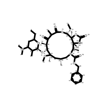 CCC1CC(N(C)C)C(C)[C@H](O[C@@H]2[C@@H](C)C(=O)C(C)C(=O)O[C@H](CC)[C@@]3(C)OC(=O)N[C@@H]3[C@@H](C)N(C(=O)OCc3ccccc3)C[C@H](C)C[C@@]2(C)OC)O1